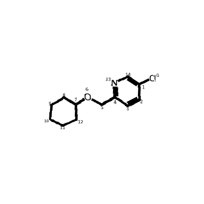 Clc1ccc(COC2CCCCC2)nc1